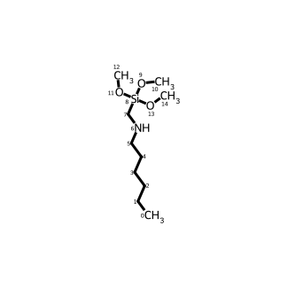 CCCCCCNC[Si](OC)(OC)OC